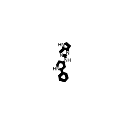 c1ccc(C2CC(Nc3ncc4[nH]ccc4n3)CCN2)cc1